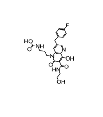 O=C(O)NCCCn1c(=O)c(C(=O)NCCO)c(O)c2ncc(Cc3ccc(F)cc3)cc21